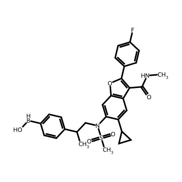 CNC(=O)c1c(-c2ccc(F)cc2)oc2cc(N(CC(C)c3ccc(BO)cc3)S(C)(=O)=O)c(C3CC3)cc12